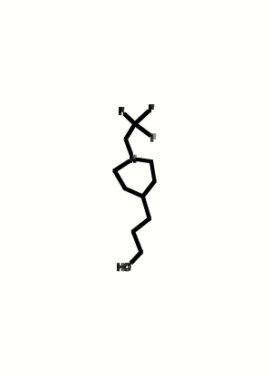 OCCCC1CCN(CC(F)(F)F)CC1